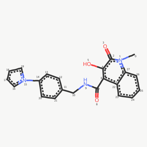 Cn1c(=O)c(O)c(C(=O)NCc2ccc(-n3cccc3)cc2)c2ccccc21